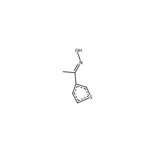 C/C(=N\O)c1ccsc1